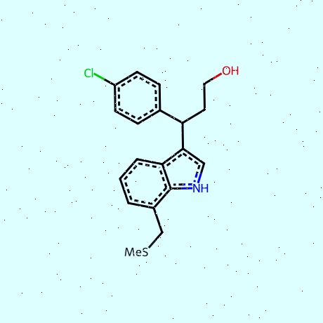 CSCc1cccc2c(C(CCO)c3ccc(Cl)cc3)c[nH]c12